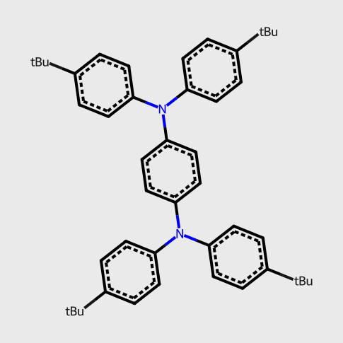 CC(C)(C)c1ccc(N(c2ccc(N(c3ccc(C(C)(C)C)cc3)c3ccc(C(C)(C)C)cc3)cc2)c2ccc(C(C)(C)C)cc2)cc1